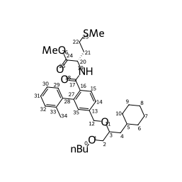 CCCCOCC(CC1CCCCC1)OCc1ccc(C(=O)N[C@@H](CCSC)C(=O)OC)c(-c2ccccc2C)c1